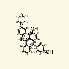 O=C(Nc1ccc(N2CCOCC2)cc1)c1ccccc1C(c1ccc(O)cc1)c1ccc(O)cc1